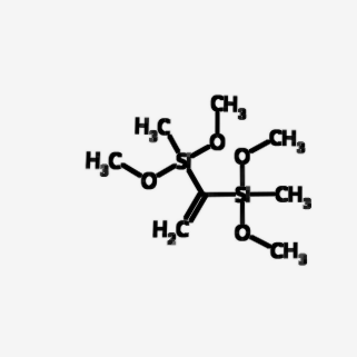 C=C([Si](C)(OC)OC)[Si](C)(OC)OC